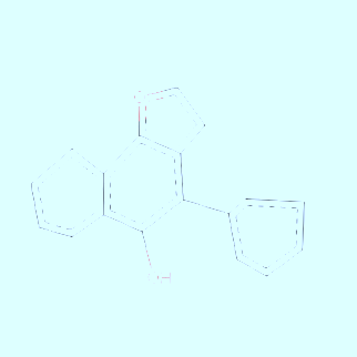 Oc1c(-c2ccccc2)c2ccoc2c2ccccc12